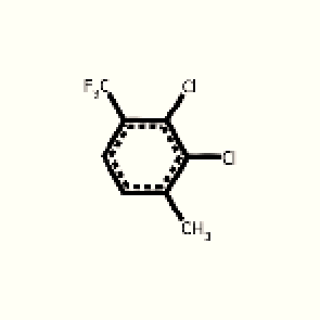 Cc1ccc(C(F)(F)F)c(Cl)c1Cl